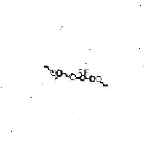 C=CCCOc1ccc(/C=C/C2CCC(c3ccc(-c4ccc(OCCCC)cc4)c(F)c3F)CC2)cc1F